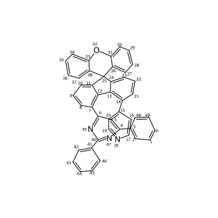 c1ccc(-c2cc(-c3cccc4c3-c3c(-c5ccncc5)cccc3C43c4ccccc4Oc4ccccc43)nc(-c3ccccc3)n2)cc1